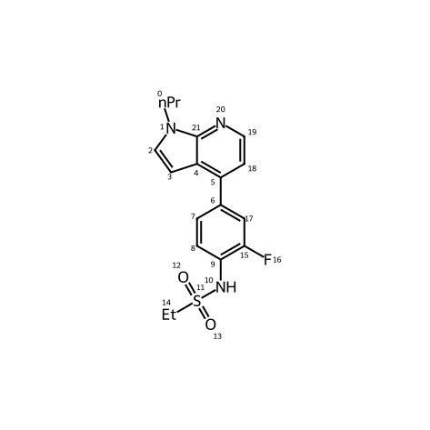 CCCn1ccc2c(-c3ccc(NS(=O)(=O)CC)c(F)c3)ccnc21